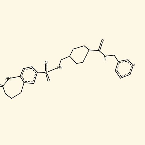 O=C1CCCc2cc(S(=O)(=O)NCC3CCC(C(=O)NCc4cccnc4)CC3)ccc2N1